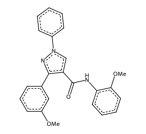 COc1cccc(-c2nn(-c3ccccc3)cc2C(=O)Nc2ccccc2OC)c1